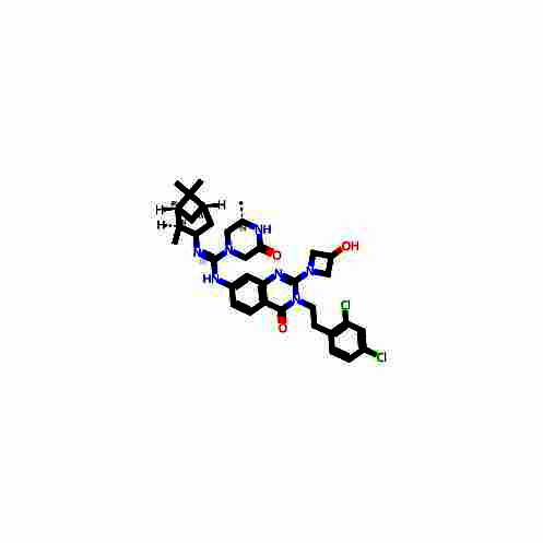 C[C@@H]1C(/N=C(/Nc2ccc3c(=O)n(CCc4ccc(Cl)cc4Cl)c(N4CC(O)C4)nc3c2)N2CC(=O)N[C@@H](C)C2)C[C@@H]2C[C@H]1C2(C)C